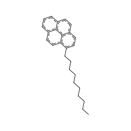 CCCCCCCCCCc1ccc2ccc3cccc4ccc1c2c34